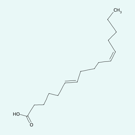 CCCC/C=C\CCC/C=C/CCCCC(=O)O